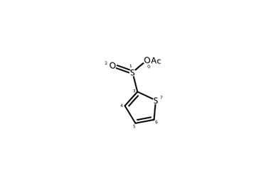 CC(=O)OS(=O)c1cccs1